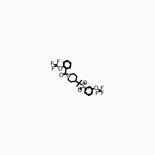 CC(C)(C1CCN(C(=O)c2ccccc2OC(F)(F)F)CC1)S(=O)(=O)c1cccc(OC(F)(F)F)c1